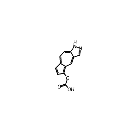 O=C(O)Oc1ccc2ccc3[nH]ncc3cc1-2